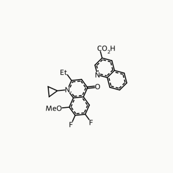 CCc1cc(=O)c2cc(F)c(F)c(OC)c2n1C1CC1.O=C(O)c1cnc2ccccc2c1